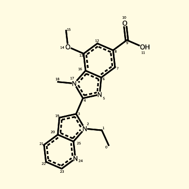 CCn1c(-c2nc3cc(C(=O)O)cc(OC)c3n2C)cc2cccnc21